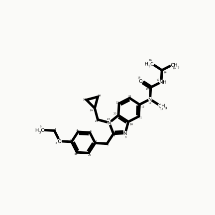 CCOc1ccc(Cc2nc3cc(N(C)C(=O)NC(C)C)ccc3n2CC2CC2)cc1